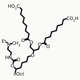 CCCCCCCCC(CCCCOC(COC(=O)CCCCCCCC(=O)O)COC(=O)CCCCCCCC(=O)O)OC(=O)NCCN(C)CC